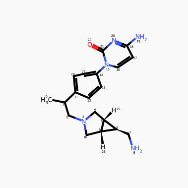 CC(CN1C[C@@H]2[C@@H](CN)[C@@H]2C1)c1ccc(-n2ccc(N)nc2=O)cc1